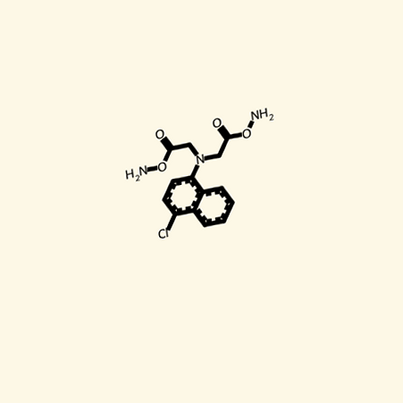 NOC(=O)CN(CC(=O)ON)c1ccc(Cl)c2ccccc12